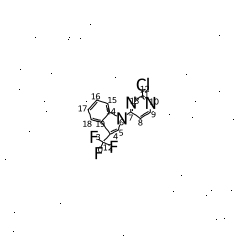 FC(F)(F)c1cn(-c2ccnc(Cl)n2)c2ccccc12